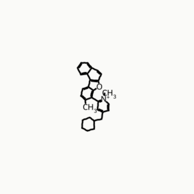 Cc1ccc2c(oc3ccc4ccccc4c32)c1-c1cc(CC2CCCCC2)cc[n+]1C